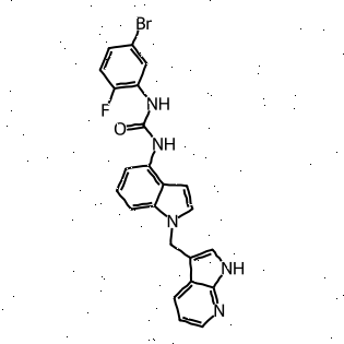 O=C(Nc1cc(Br)ccc1F)Nc1cccc2c1ccn2Cc1c[nH]c2ncccc12